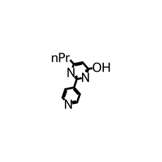 CCCc1cc(O)nc(-c2ccncc2)n1